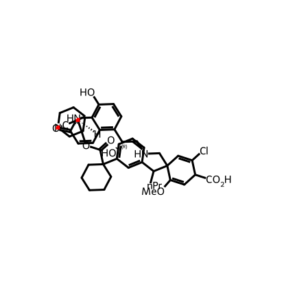 CCCC(c1cccc(C2(C(=O)O[C@H]3CN4CCC3CC4)CCCCC2)c1)C1(CNC[C@H](O)c2ccc(O)c3[nH]c(=O)ccc23)C=C(Cl)C(C(=O)O)C=C1OC